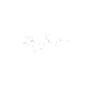 C=N/C(=N\C(=C(/C)Cl)c1ccc2c(c1)C(=O)N(C1CCN(C(C)(C)C)C1=O)C2)NC1CCOCC1